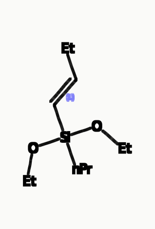 CC/C=C/[Si](CCC)(OCC)OCC